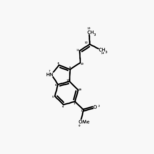 COC(=O)c1ccc2[nH]cc(CC=C(C)C)c2c1